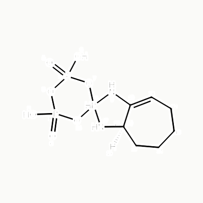 O=P1(O)OP(=O)(O)O[PH]2(NC3=CCCCC[C@H]3N2)O1